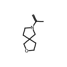 C=C(C)N1CCC2(CCOC2)C1